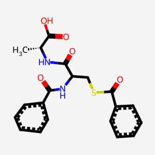 C[C@@H](NC(=O)C(CSC(=O)c1ccccc1)NC(=O)c1ccccc1)C(=O)O